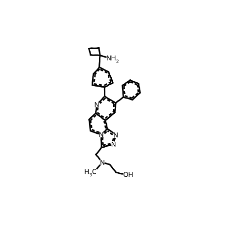 CN(CCO)Cc1nnc2c3cc(-c4ccccc4)c(-c4ccc(C5(N)CCC5)cc4)nc3ccn12